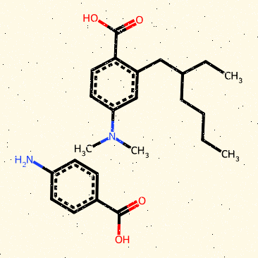 CCCCC(CC)Cc1cc(N(C)C)ccc1C(=O)O.Nc1ccc(C(=O)O)cc1